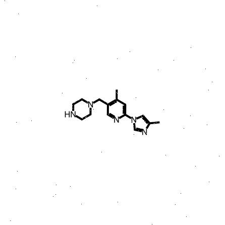 Cc1cn(-c2cc(C)c(CN3CCNCC3)cn2)cn1